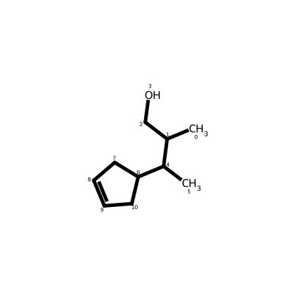 CC(CO)C(C)C1CC=CC1